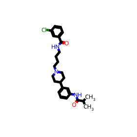 CC(C)C(=O)Nc1cccc(C2CCN(CCCCNC(=O)c3cccc(Cl)c3)CC2)c1